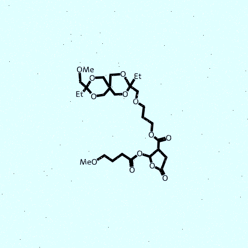 CCC1(COC)OCC2(CO1)COC(CC)(COCCCOC(=O)C1CC(=O)OC1OC(=O)CCCOC)OC2